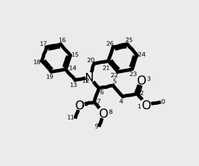 COC(=O)CCC(C(OC)OC)N(Cc1ccccc1)Cc1ccccc1